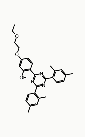 CCOCCOc1ccc(-c2nc(-c3ccc(C)cc3C)nc(-c3ccc(C)cc3C)n2)c(O)c1